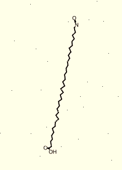 O=C=NCCCCCCCCCCCCCCCCCCCCCCCCCCCCCCCCCCCCC(=O)O